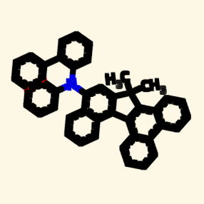 CC1(C)c2cc(N(c3ccccc3)c3ccccc3-c3ccccc3)c3ccccc3c2-c2c1c1ccccc1c1ccccc21